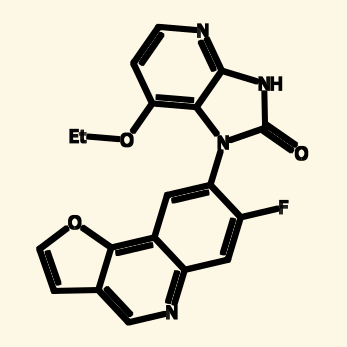 CCOc1ccnc2[nH]c(=O)n(-c3cc4c(cc3F)ncc3ccoc34)c12